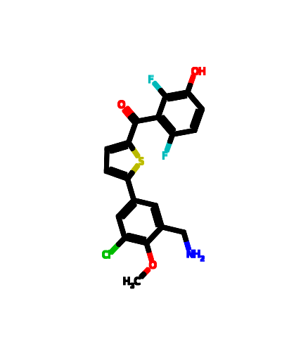 COc1c(Cl)cc(-c2ccc(C(=O)c3c(F)ccc(O)c3F)s2)cc1CN